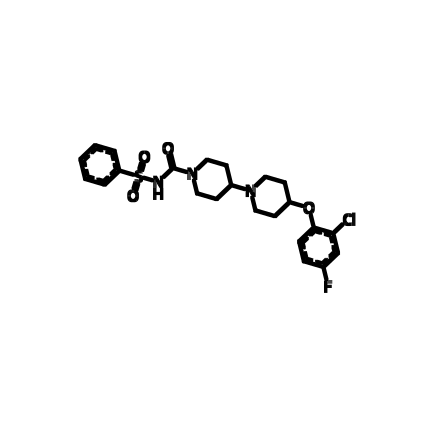 O=C(NS(=O)(=O)c1ccccc1)N1CCC(N2CCC(Oc3ccc(F)cc3Cl)CC2)CC1